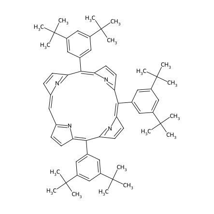 CC(C)(C)c1cc(C2=C3C=CC(=N3)C=C3C=CC(=N3)C(c3cc(C(C)(C)C)cc(C(C)(C)C)c3)=C3C=CC(=N3)C(c3cc(C(C)(C)C)cc(C(C)(C)C)c3)=C3C=CC2=N3)cc(C(C)(C)C)c1